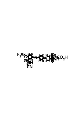 CC(C)[C@@H](NS(=O)(=O)N1CCN(c2ccc(C#Cc3ccc(OCC(F)(F)F)c(C(=O)NCC#N)c3)cc2)CC1)C(=O)O